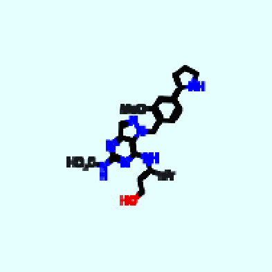 CCCC(CCO)Nc1nc(NC(=O)O)nc2cnn(Cc3ccc(C4CCCN4)cc3OC)c12